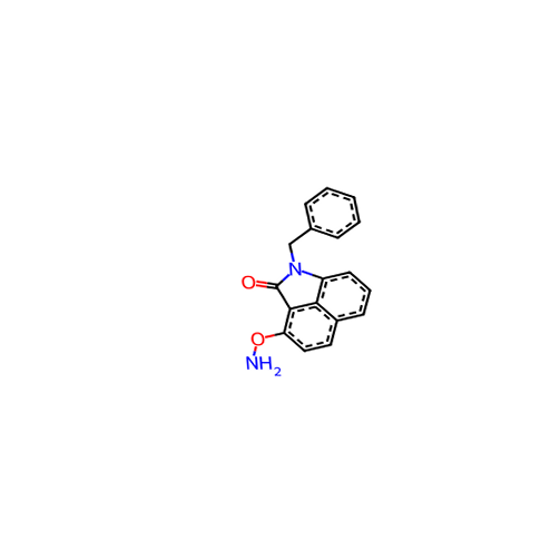 NOc1ccc2cccc3c2c1C(=O)N3Cc1ccccc1